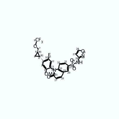 COc1cc([C@@H]2C[C@H]2COC(F)(F)F)c(F)cc1-n1c(=O)ccc2cc(S(=O)(=O)Nc3ccon3)ccc21